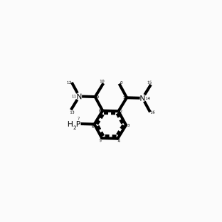 CC(c1cccc(P)c1C(C)N(C)C)N(C)C